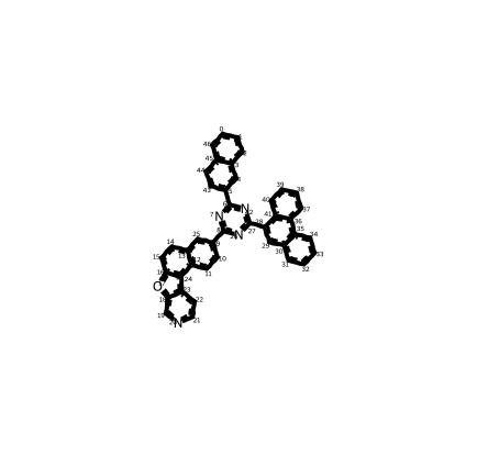 c1ccc2cc(-c3nc(-c4ccc5c(ccc6oc7cnccc7c65)c4)nc(-c4cc5ccccc5c5ccccc45)n3)ccc2c1